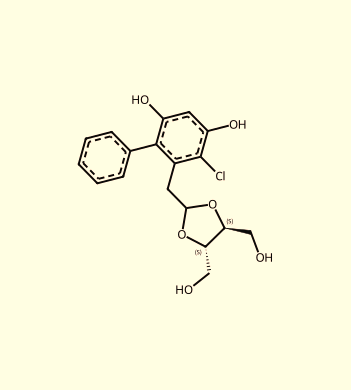 OC[C@@H]1OC(Cc2c(Cl)c(O)cc(O)c2-c2ccccc2)O[C@H]1CO